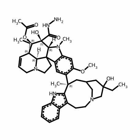 CCC1(O)CC2CN(CCc3c([nH]c4ccccc34)[C@@](C)(c3cc4c(cc3OC)N(C)[C@@H]3C45CCN4CC=C[C@](CC)([C@H]45)[C@@H](OC(C)=O)[C@]3(O)C(=O)NN)C2)C1